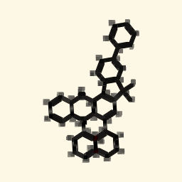 CC1(C)c2cc(-c3ccccc3)ccc2-c2c1cc(-c1ccccc1)c1c2OC2C=CC=CC2N1c1ccccc1